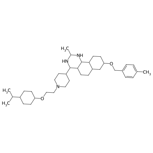 Cc1ccc(COC2CCC3C(CCC4C(C5CCN(CCOC6CCC(C(C)C)CC6)CC5)NC(C)NC34)C2)cc1